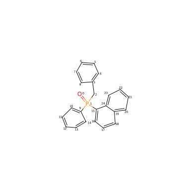 O=P(Cc1ccccc1)(c1ccccc1)c1cccc2ccccc12